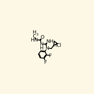 CNC(=O)NC(=N)N(CC1CC1)c1cccc(F)c1F.Cl